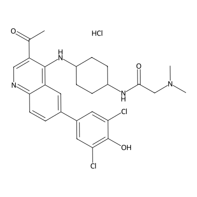 CC(=O)c1cnc2ccc(-c3cc(Cl)c(O)c(Cl)c3)cc2c1NC1CCC(NC(=O)CN(C)C)CC1.Cl